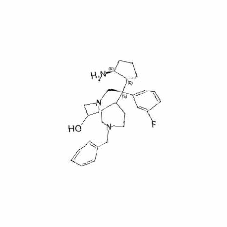 N[C@H]1CCC[C@@H]1[C@](CN1CC(O)C1)(c1cccc(F)c1)C1CCN(Cc2ccccc2)CC1